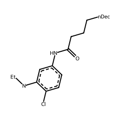 CCCCCCCCCCCCCC(=O)Nc1ccc(Cl)c([N]CC)c1